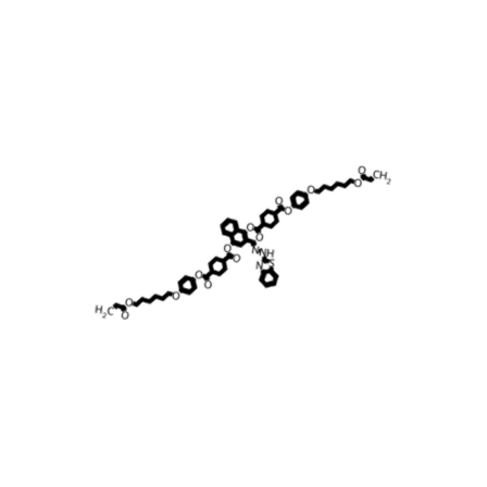 C=CC(=O)OCCCCCCOc1ccc(OC(=O)C2CCC(C(=O)Oc3cc(/C=N/Nc4nc5ccccc5s4)c(OC(=O)C4CCC(C(=O)Oc5ccc(OCCCCCCOC(=O)C=C)cc5)CC4)c4ccccc34)CC2)cc1